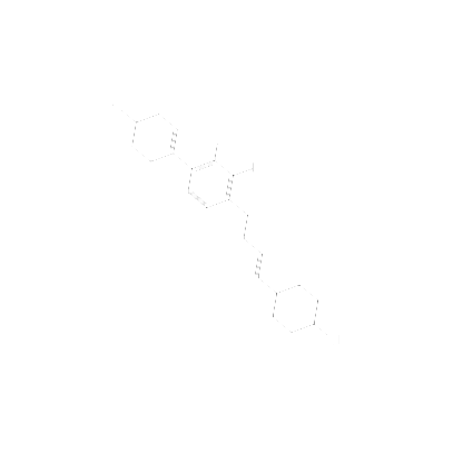 CCCC1CC=C(c2ccc(CC/C=C/C3CCC(C)CC3)c(F)c2F)CC1